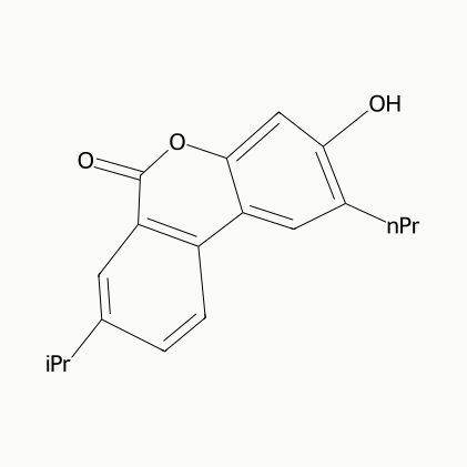 CCCc1cc2c(cc1O)oc(=O)c1cc(C(C)C)ccc12